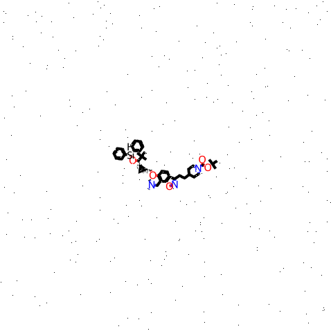 CN(C)Cc1c(OC[C@@H]2C[C@@H]2C(O[SiH](c2ccccc2)c2ccccc2)C(C)(C)C)ccc2c(CCC3CCN(C(=O)OC(C)(C)C)CC3)noc12